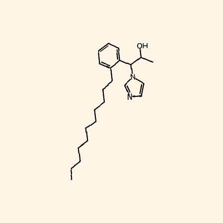 CCCCCCCCCCCc1ccccc1C(C(C)O)n1ccnc1